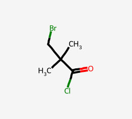 CC(C)(CBr)C(=O)Cl